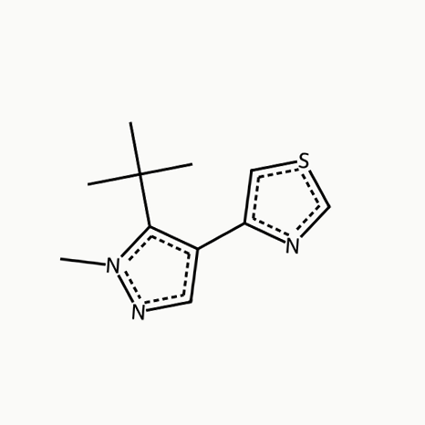 Cn1ncc(-c2cscn2)c1C(C)(C)C